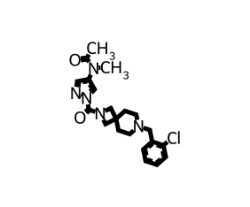 CC(=O)N(C)c1cnn(C(=O)N2CC3(CCN(Cc4ccccc4Cl)CC3)C2)c1